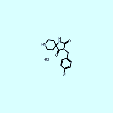 Cl.O=C1NC2(CCNCC2)C(=O)N1Cc1ccc(Br)cc1